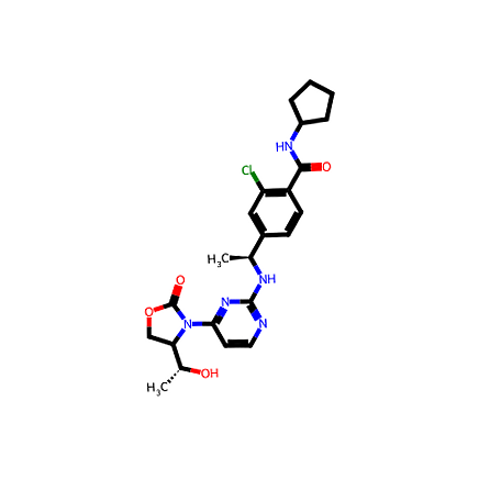 C[C@H](Nc1nccc(N2C(=O)OCC2[C@@H](C)O)n1)c1ccc(C(=O)NC2CCCC2)c(Cl)c1